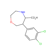 O=C(O)C1NCCOCC1c1ccc(Cl)c(Cl)c1